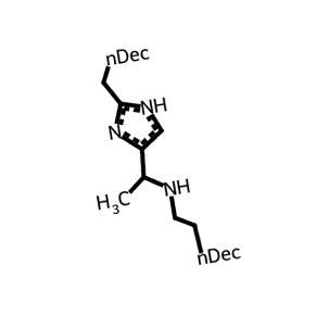 CCCCCCCCCCCCNC(C)c1c[nH]c(CCCCCCCCCCC)n1